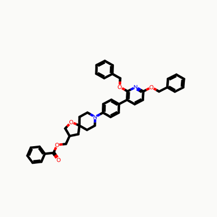 O=C(OCC1COC2(CCN(c3ccc(-c4ccc(OCc5ccccc5)nc4OCc4ccccc4)cc3)CC2)C1)c1ccccc1